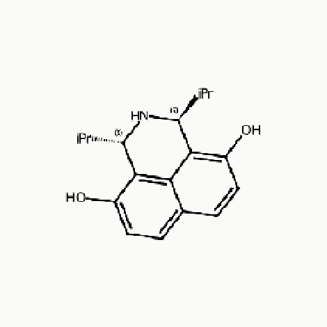 CC(C)[C@@H]1N[C@@H](C(C)C)c2c(O)ccc3ccc(O)c1c23